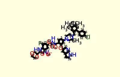 CC1CN(c2ccc(C(=O)NS(=O)(=O)c3cc(F)c(NCC4COCCO4)c([N+](=O)[O-])c3)c(Oc3cnc4[nH]ccc4c3)c2)CCN1CC1=C(c2ccc(Cl)cc2)CC(C)(C)C(C)(C)C1